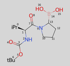 CC(C)[C@H](NC(=O)OC(C)(C)C)C(=O)N1CCCC1B(O)O